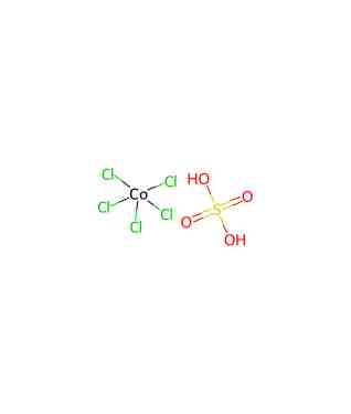 O=S(=O)(O)O.[Cl][Co]([Cl])([Cl])([Cl])[Cl]